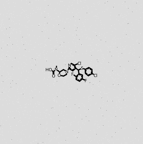 CN(C(=O)O)C1CN(c2cc(C(Sc3ccc(Cl)cc3)c3cc(F)ccc3F)c(Cl)cn2)CCO1